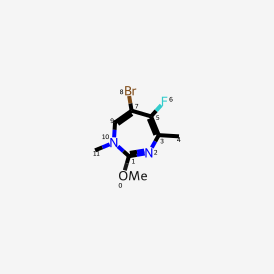 COC1=NC(C)=C(F)C(Br)=CN1C